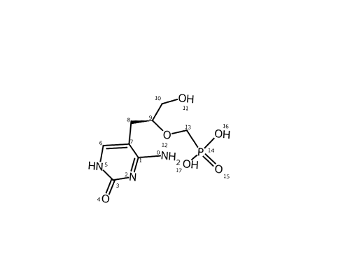 Nc1nc(=O)[nH]cc1C[C@@H](CO)OCP(=O)(O)O